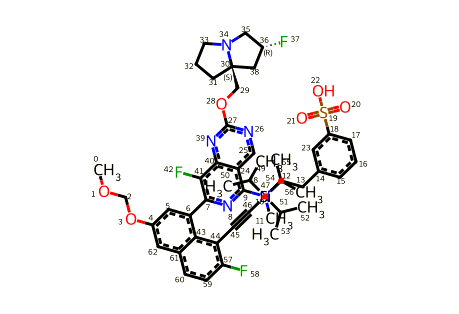 COCOc1cc(-c2nc(N(C)CCc3cccc(S(=O)(=O)O)c3)c3cnc(OC[C@@]45CCCN4C[C@H](F)C5)nc3c2F)c2c(C#C[Si](C(C)C)(C(C)C)C(C)C)c(F)ccc2c1